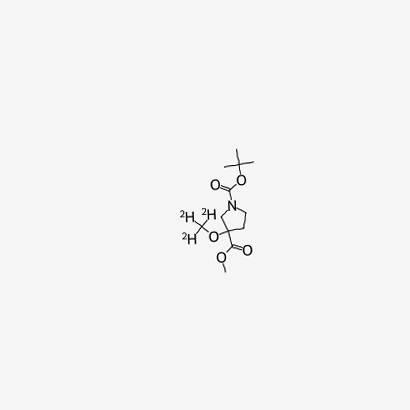 [2H]C([2H])([2H])OC1(C(=O)OC)CCN(C(=O)OC(C)(C)C)C1